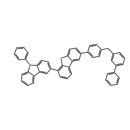 c1ccc(-c2cccc(Cc3ccc(-c4ccc5sc6c(-c7ccc8c(c7)c7ccccc7n8-c7ccccc7)cccc6c5c4)cc3)c2)cc1